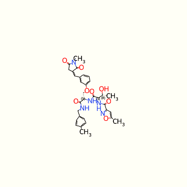 Cc1ccc(CNC(=O)[C@H](COc2cccc(C=C3CC(=O)N(C)C3=O)c2)NC(=O)[C@@H](NC(=O)c2cc(C)on2)[C@@H](C)O)cc1